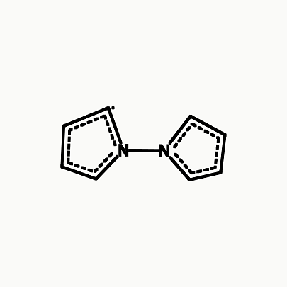 [c]1cccn1-n1cccc1